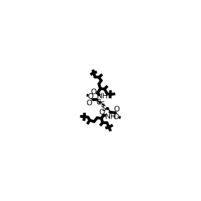 COC(=O)[C@H](CSSC[C@H](NC(=O)C(CCC(C)CC(C)(C)C)C(C)CC(C)(C)C)C(=O)OC)NC(=O)C(CCC(C)CC(C)(C)C)C(C)CC(C)(C)C